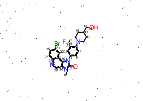 Cn1c(=O)n(-c2ccc(N3CCC(CO)CC3)c(C(F)(F)F)c2)c2c3cc(Br)ccc3ncc21